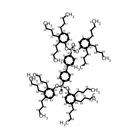 CCCCc1ccc(OP(=O)(Oc2ccc(CCCC)c(CCCC)c2CCCC)c2ccc(-c3ccc(P(=O)(Oc4ccc(CCCC)c(CCCC)c4CCCC)Oc4ccc(CCCC)c(CCCC)c4CCCC)cc3)cc2)c(CCCC)c1CCCC